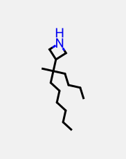 CCCCCCC(C)(CCCC)C1CNC1